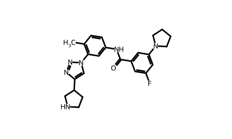 Cc1ccc(NC(=O)c2cc(F)cc(N3CCCC3)c2)cc1-n1cc(C2CCNC2)nn1